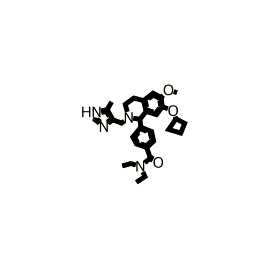 CCN(CC)C(=O)c1ccc(C2c3cc(OC4CCC4)c(OC)cc3CCN2Cc2nc[nH]c2C)cc1